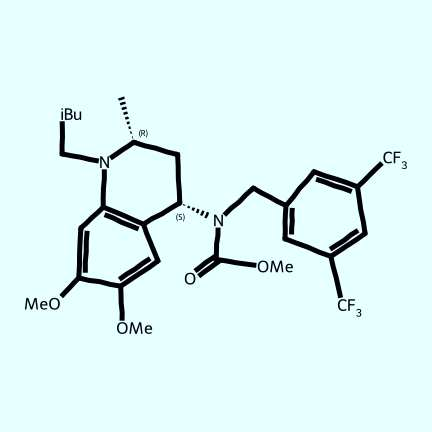 CCC(C)CN1c2cc(OC)c(OC)cc2[C@@H](N(Cc2cc(C(F)(F)F)cc(C(F)(F)F)c2)C(=O)OC)C[C@H]1C